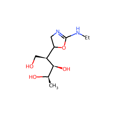 CCNC1=NCC([C@H](CO)[C@@H](O)[C@@H](C)O)O1